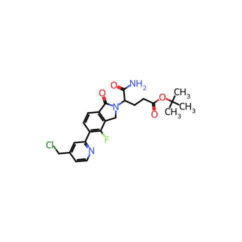 CC(C)(C)OC(=O)CCC(C(N)=O)N1Cc2c(ccc(-c3cc(CCl)ccn3)c2F)C1=O